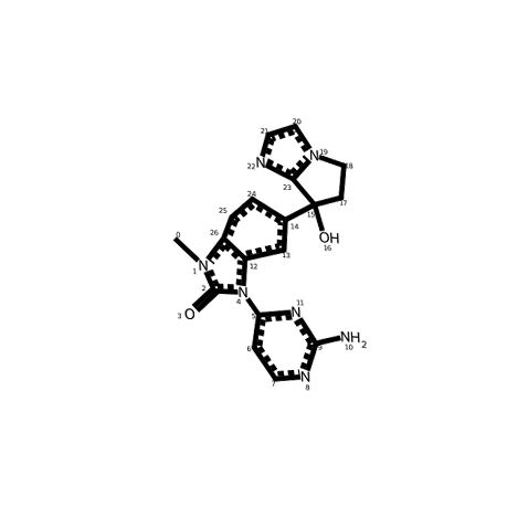 Cn1c(=O)n(-c2ccnc(N)n2)c2cc(C3(O)CCn4ccnc43)ccc21